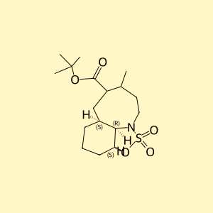 CC1CCN2[C@@H]3[C@@H](CCC[C@@H]3OS2(=O)=O)CC1C(=O)OC(C)(C)C